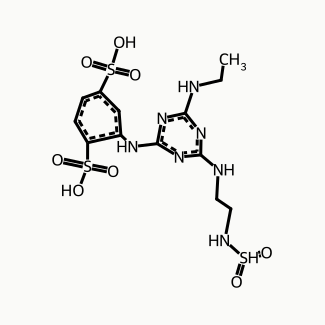 CCNc1nc(NCCN[SH](=O)=O)nc(Nc2cc(S(=O)(=O)O)ccc2S(=O)(=O)O)n1